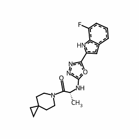 C[C@@H](Nc1nnc(-c2cc3cccc(F)c3[nH]2)o1)C(=O)N1CCC2(CC1)CC2